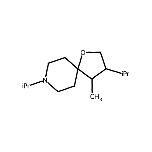 CC(C)C1COC2(CCN(C(C)C)CC2)C1C